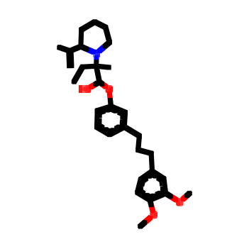 C=C(C)C1CCCCN1C(C)(CC)C(O)Oc1cccc(CCCc2ccc(OC)c(OC)c2)c1